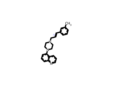 Cc1cccc(/C=C/CN2CCN(c3cccc4ncccc34)CC2)c1